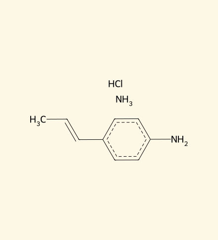 CC=Cc1ccc(N)cc1.Cl.N